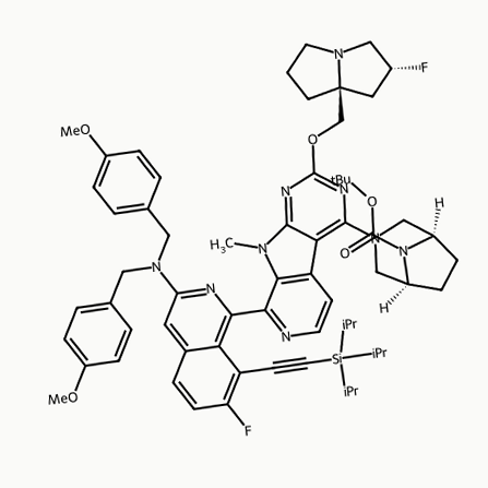 COc1ccc(CN(Cc2ccc(OC)cc2)c2cc3ccc(F)c(C#C[Si](C(C)C)(C(C)C)C(C)C)c3c(-c3nccc4c5c(N6C[C@H]7CC[C@@H](C6)N7C(=O)OC(C)(C)C)nc(OC[C@@]67CCCN6C[C@H](F)C7)nc5n(C)c34)n2)cc1